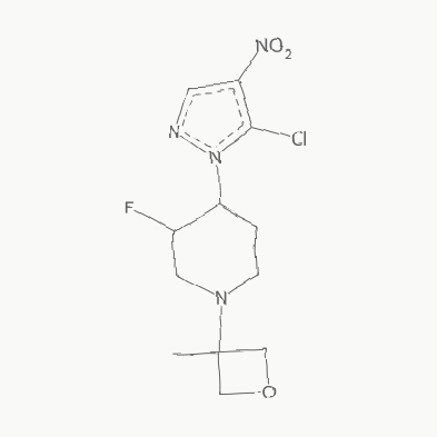 CC1(N2CCC(n3ncc([N+](=O)[O-])c3Cl)C(F)C2)COC1